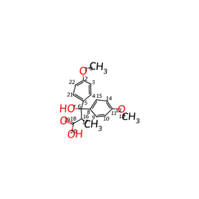 COc1ccc(C(O)(c2ccc(OC)cc2)C(C)C(=O)O)cc1